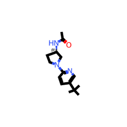 CC(=O)N[C@@H]1CCN(c2ccc(C(C)(C)C)cn2)C1